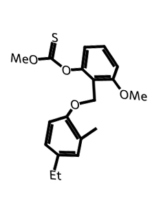 CCc1ccc(OCc2c(OC)cccc2OC(=S)OC)c(C)c1